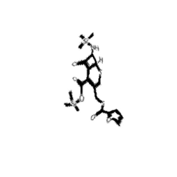 C[Si](C)(C)N[C@@H]1C(=O)C2C(C(=O)O[Si](C)(C)C)=C(CSC(=O)c3ccco3)CS[C@@H]21